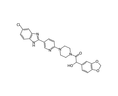 O=C(C(O)c1ccc2c(c1)OCO2)N1CCN(c2ccc(-c3nc4cc(Cl)ccc4[nH]3)cn2)CC1